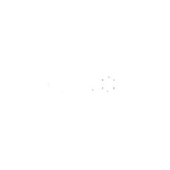 CS(=O)(=O)OC1CCN(c2ccc(F)cc2F)CC1